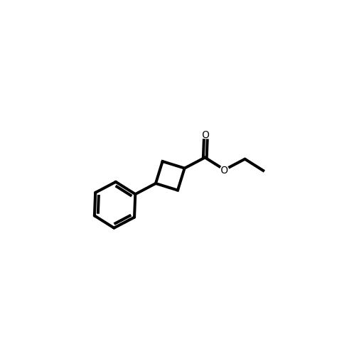 CCOC(=O)C1CC(c2ccccc2)C1